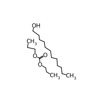 CCCCCCCCCCCCO.CCCOC(=O)OCCC